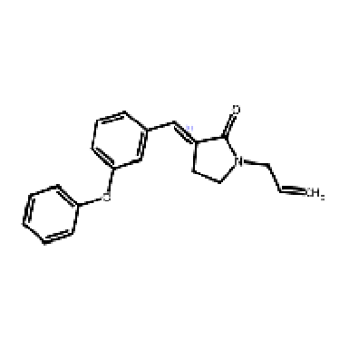 C=CCN1CC/C(=C\c2cccc(Oc3ccccc3)c2)C1=O